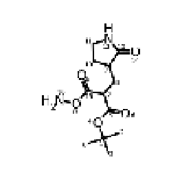 CC(C)(C)OC(=O)C(CC1CCNC1=O)C(=O)ON